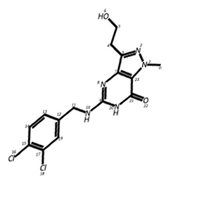 Cn1nc(CCO)c2nc(NCc3ccc(Cl)c(Cl)c3)[nH]c(=O)c21